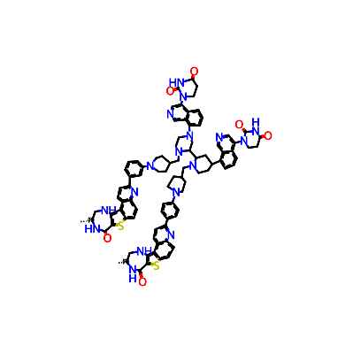 C[C@@H]1CNc2c(sc3ccc4nc(-c5ccc(N6CCC(CN7CCC(c8cccc9c(N%10CCC(=O)NC%10=O)cncc89)CC7C7CN(c8cccc9c(N%10CCC(=O)NC%10=O)cncc89)CCN7CC7CCN(c8cccc(-c9ccc%10c(ccc%11sc%12c(c%11%10)NC[C@@H](C)NC%12=O)n9)c8)CC7)CC6)cc5)ccc4c23)C(=O)N1